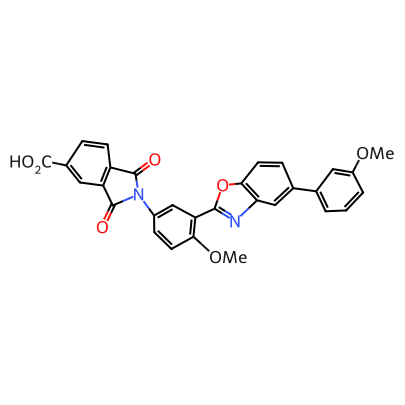 COc1cccc(-c2ccc3oc(-c4cc(N5C(=O)c6ccc(C(=O)O)cc6C5=O)ccc4OC)nc3c2)c1